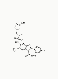 CNC(=O)c1c(-c2ccc(F)cc2)oc2cc(NS(=O)(=O)C(C)CC3COB(O)C3)c(C3CC3)cc12